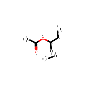 CCC.CCC(C)OC(C)=O